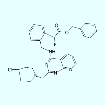 O=C(OCc1ccccc1)C(F)c1ccccc1CNc1nc(CN2CCC(Cl)CC2)nc2ncccc12